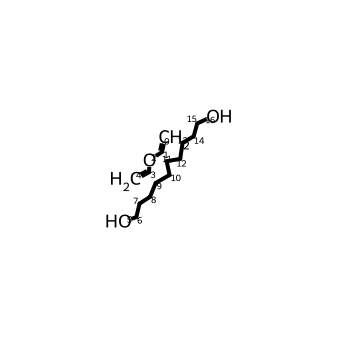 C=COC=C.OCCCCCCCCCCO